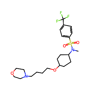 CN(C1CCC(OCCCCN2CCOCC2)CC1)S(=O)(=O)c1ccc(C(F)(F)F)cc1